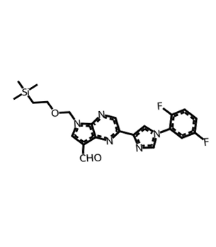 C[Si](C)(C)CCOCn1cc(C=O)c2nc(-c3cn(-c4cc(F)ccc4F)cn3)cnc21